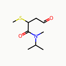 CSC(CC=O)C(=O)N(C)C(C)C